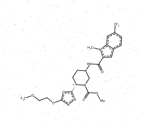 Cn1c(C(=O)NC2CC[C@@H](c3nnc(OCCOC(F)(F)F)o3)N(C(=O)OC(C)(C)C)C2)cc2ccc(C(F)(F)F)cc21